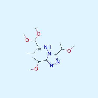 CC[C@@H](Nn1c(C(C)OC)nnc1C(C)OC)C(OC)OC